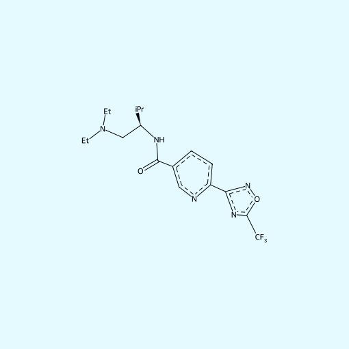 CCN(CC)C[C@H](NC(=O)c1ccc(-c2noc(C(F)(F)F)n2)nc1)C(C)C